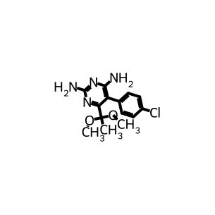 COC(C)(OC)c1nc(N)nc(N)c1-c1ccc(Cl)cc1